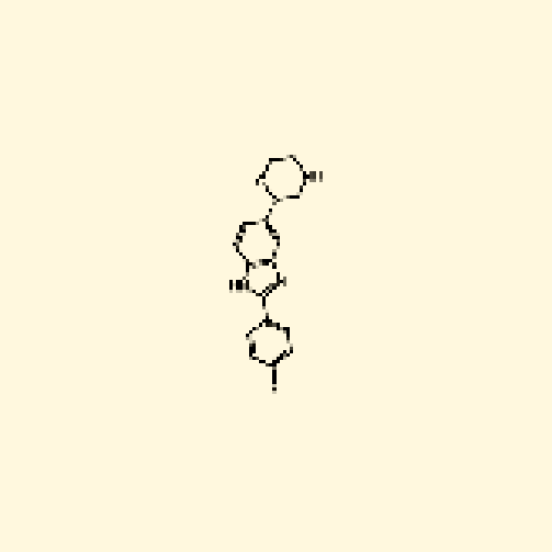 Fc1ccc(-c2nc3cc([C@H]4CNCCO4)ccc3[nH]2)cc1